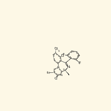 CCc1cn2c(nc1=O)[C@H](C)N=C(c1c(F)cccc1F)c1c-2ccc(C(F)(F)F)c1Cl